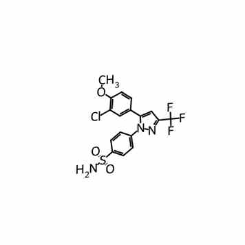 COc1ccc(-c2cc(C(F)(F)F)nn2-c2ccc(S(N)(=O)=O)cc2)cc1Cl